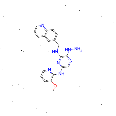 COc1cccnc1Nc1cnc(NN)c(NCc2ccc3ncccc3c2)n1